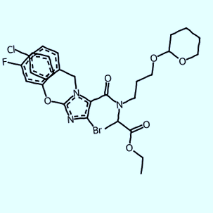 CCOC(=O)C(C)N(CCCOC1CCCCO1)C(=O)c1c(Br)nc(Oc2cccc(F)c2)n1Cc1ccc(Cl)cc1